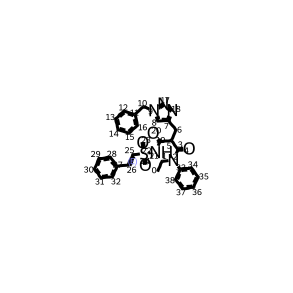 CCN(C(=O)C(Cc1cn(Cc2ccccc2)nn1)C(=O)NS(=O)(=O)/C=C/c1ccccc1)c1ccccc1